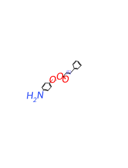 Nc1ccc(OCOC(=O)/C=C/c2ccccc2)cc1